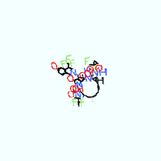 COc1ccc2c(O[C@@H]3C[C@H]4C(=O)N[C@]5(C(=O)NS(=O)(=O)C6(CF)CC6)C[C@H]5C=CCC[C@H](C)C[C@@H](C)[C@H](N(C(=O)O)C(C)(C)C(C)(F)F)C(=O)N4C3)ncc(C(F)(F)F)c2c1